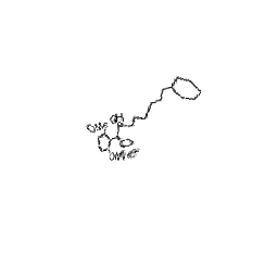 COc1cccc(OC)c1C(=O)[PH](=O)CCCCCCC1CCCCC1